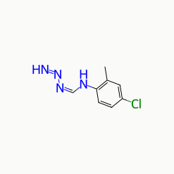 Cc1cc(Cl)ccc1N/C=N\N=N